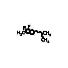 CCCC(C)CCCC1CCc2cc(C)c(F)c(F)c2C1